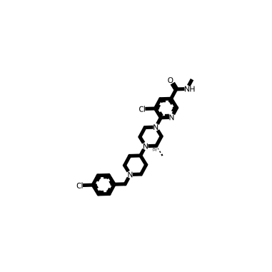 CNC(=O)c1cnc(N2CCN(C3CCN(Cc4ccc(Cl)cc4)CC3)[C@@H](C)C2)c(Cl)c1